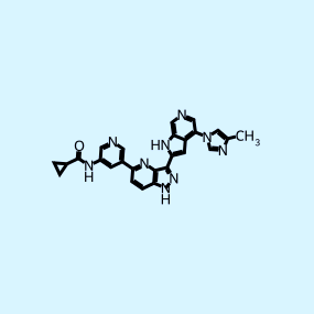 Cc1cn(-c2cncc3[nH]c(-c4n[nH]c5ccc(-c6cncc(NC(=O)C7CC7)c6)nc45)cc23)cn1